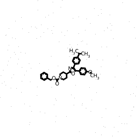 COc1ccc(-c2oc(C3CCN(C(=O)OCc4ccccc4)CC3)nc2-c2ccc(C(C)C)cc2)cc1